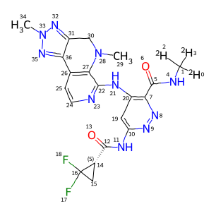 [2H]C([2H])([2H])NC(=O)c1nnc(NC(=O)[C@@H]2CC2(F)F)cc1Nc1nccc2c1N(C)Cc1nn(C)nc1-2